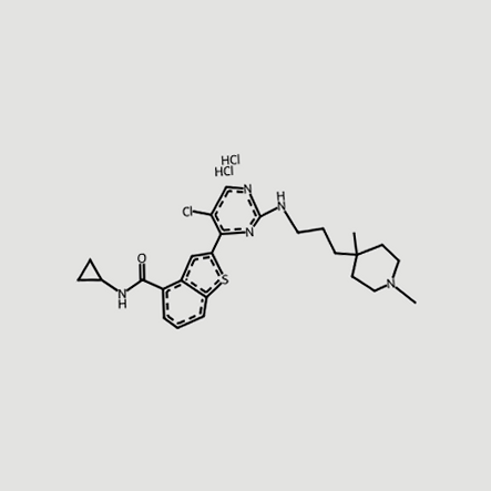 CN1CCC(C)(CCCNc2ncc(Cl)c(-c3cc4c(C(=O)NC5CC5)cccc4s3)n2)CC1.Cl.Cl